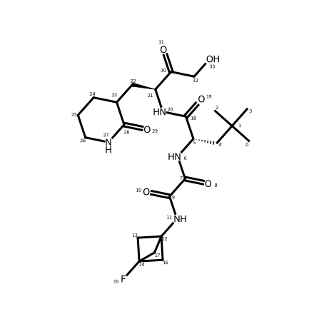 CC(C)(C)C[C@H](NC(=O)C(=O)NC12CC(F)(C1)C2)C(=O)N[C@@H](CC1CCCNC1=O)C(=O)CO